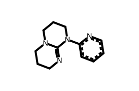 c1ccc(N2CCCN3CCCN=C32)nc1